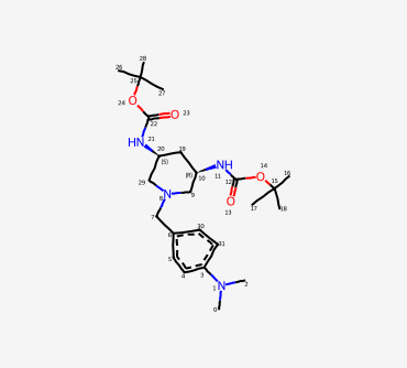 CN(C)c1ccc(CN2C[C@H](NC(=O)OC(C)(C)C)C[C@H](NC(=O)OC(C)(C)C)C2)cc1